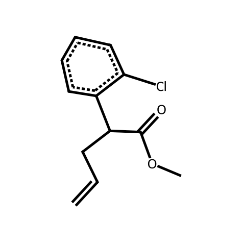 C=CCC(C(=O)OC)c1ccccc1Cl